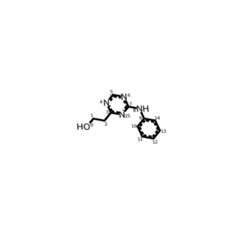 OCCc1n[c]nc(Nc2ccccc2)n1